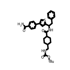 CC(C)(C)OC(=O)NCC1CCC(C(=O)NC(Cc2ccccc2)c2cc(-c3ccc(C(N)=O)cc3)cs2)CC1